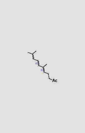 CC(=O)CC/C=C(C)/C=C/C=C(C)C